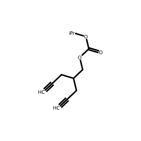 C#CCC(CC#C)COC(=O)OC(C)C